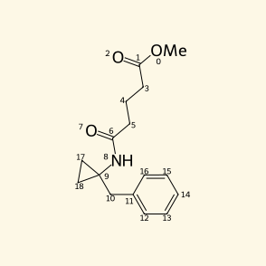 COC(=O)CCCC(=O)NC1(Cc2ccccc2)CC1